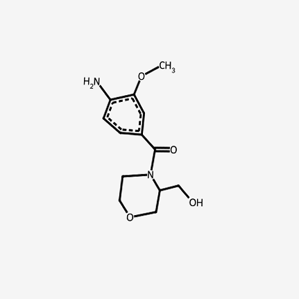 COc1cc(C(=O)N2CCOCC2CO)ccc1N